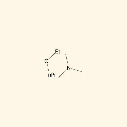 CCCOCC.CN(C)C